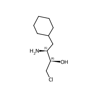 N[C@@H](CC1CCCCC1)[C@@H](O)CCl